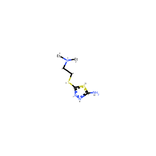 CCN(CC)CCSc1nnc(N)s1